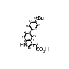 CC(C)(C)c1ccc(-c2ccc3[nH]cc(CC(=O)O)c3c2)cc1